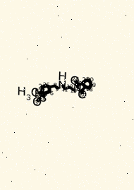 Cn1c(=O)sc2cc(CCNCCCN3C(=O)c4ccccc4C3=O)ccc21